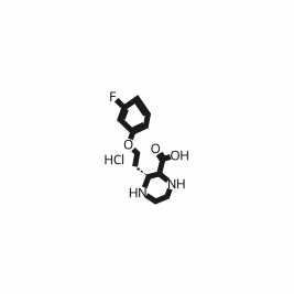 Cl.O=C(O)C1NCCN[C@@H]1CCOc1cccc(F)c1